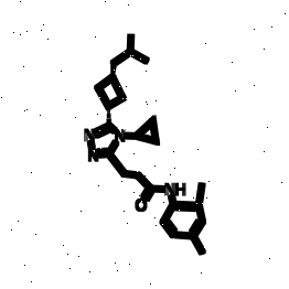 Cc1ccc(NC(=O)CCc2nnc([C@H]3C[C@H](CC(C)C)C3)n2C2CC2)c(C)c1